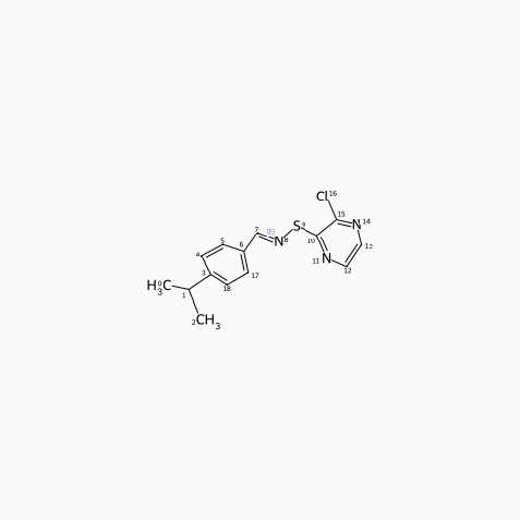 CC(C)c1ccc(/C=N/Sc2nccnc2Cl)cc1